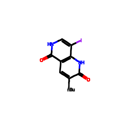 CCCCc1cc2c(=O)[nH]cc(I)c2[nH]c1=O